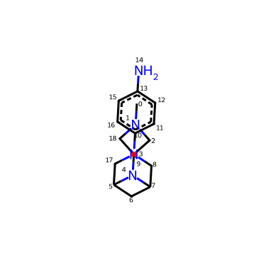 CN1CC(N2C3CC2CN(c2ccc(N)cc2)C3)C1